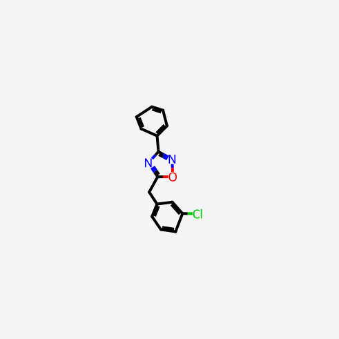 Clc1cccc(Cc2nc(-c3ccccc3)no2)c1